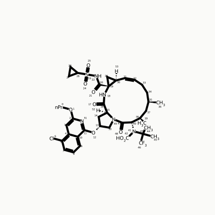 CCCOc1cc2c(Cl)cccc2c(O[C@@H]2C[C@H]3C(=O)N[C@]4(C(=O)NS(=O)(=O)C5CC5)C[C@H]4/C=C\CC[C@@H](C)C[C@@H](C)[C@H](N(C(=O)O)C(C)(C)C(F)(F)F)C(=O)N3C2)n1